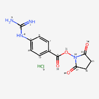 Cl.N=C(N)Nc1ccc(C(=O)ON2C(=O)CCC2=O)cc1